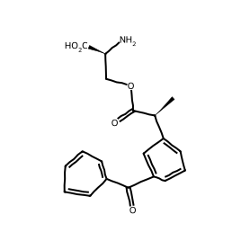 C[C@H](C(=O)OC[C@H](N)C(=O)O)c1cccc(C(=O)c2ccccc2)c1